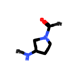 CC(C)NC1CCN(C(=O)C(C)C)C1